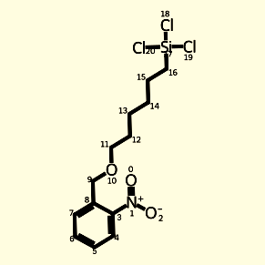 O=[N+]([O-])c1ccccc1COCCCCCC[Si](Cl)(Cl)Cl